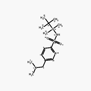 CN(C)Cc1ccc(S(=O)(=O)N[Si](C)(C)C(C)(C)C)nc1